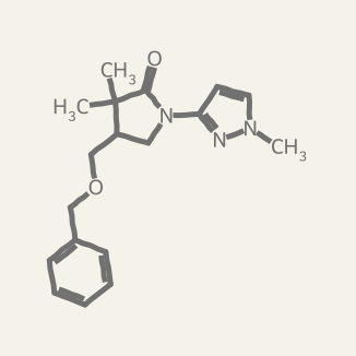 Cn1ccc(N2CC(COCc3ccccc3)C(C)(C)C2=O)n1